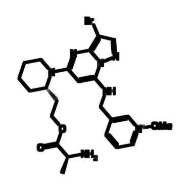 CO[n+]1cccc(CNc2cc(N3CCCC[C@H]3CCOC(=O)[C@H](C)N)nc3c(Br)cnn23)c1